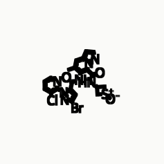 Cc1cc2ccnn2c(C(=O)NC2C[S+]([O-])C2)c1NC(=O)c1cc(Br)nn1-c1ncccc1Cl